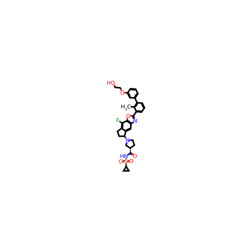 Cc1c(-c2cccc(OCCO)c2)cccc1-c1nc2cc3c(c(F)c2o1)CCC3N1CC[C@@H](C(=O)NS(=O)(=O)C2CC2)C1